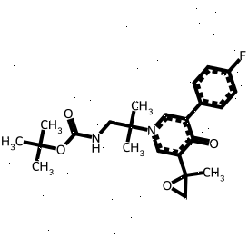 CC(C)(C)OC(=O)NCC(C)(C)n1cc(-c2ccc(F)cc2)c(=O)c(C2(C)CO2)c1